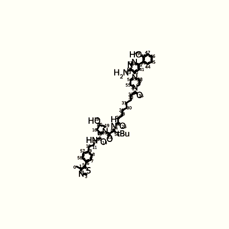 Cc1ncsc1-c1ccc(CCNC(=O)[C@@H]2C[C@H](O)CN2C(=O)[C@@H](NC(=O)CCCCCCCC(=O)N2CCN(c3cc(-c4ccccc4O)nnc3N)CC2)C(C)(C)C)cc1